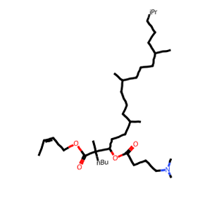 C/C=C\COC(=O)C(C)(CCCC)C(CCC(C)CCCC(C)CCCC(C)CCCC(C)C)OC(=O)CCCN(C)C